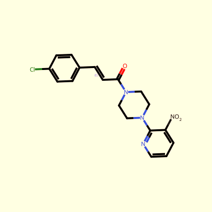 O=C(/C=C/c1ccc(Cl)cc1)N1CCN(c2ncccc2[N+](=O)[O-])CC1